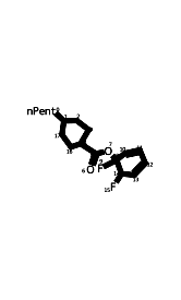 CCCCCC1CCC(C(=O)OC2(F)C=CC=CC2F)CC1